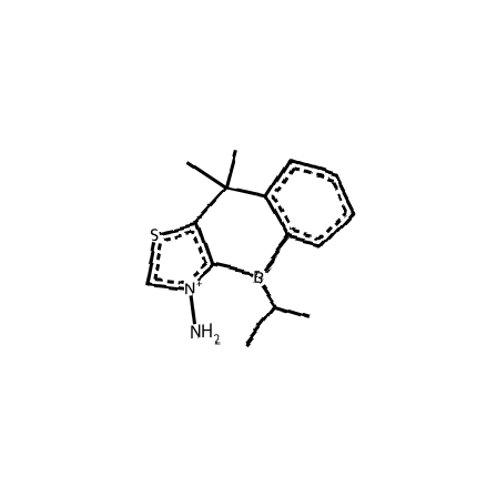 CC(C)B1c2ccccc2C(C)(C)c2sc[n+](N)c21